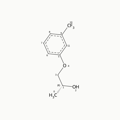 C[C@@H](O)COc1cccc(C(F)(F)F)c1